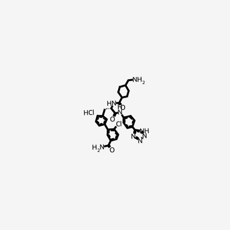 Cl.NCC1CCC(C(=O)N[C@@H](Cc2cccc(-c3cc(C(N)=O)ccc3Cl)c2)C(=O)Nc2ccc(-c3nnn[nH]3)cc2)CC1